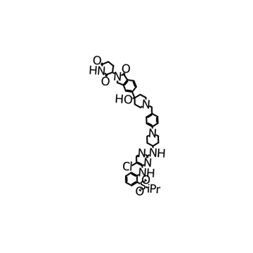 CC(C)S(=O)(=O)c1ccccc1Nc1nc(NC2CCN(c3ccc(CN4CCC(O)(c5ccc6c(c5)CN(C5CCC(=O)NC5=O)C6=O)CC4)cc3)CC2)ncc1Cl